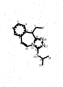 CCC1c2ccccc2C=Cn2c(SC(C)C)nnc21